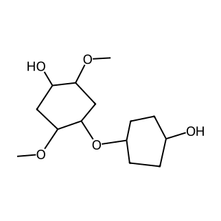 COC1CC(OC2CCC(O)CC2)C(OC)CC1O